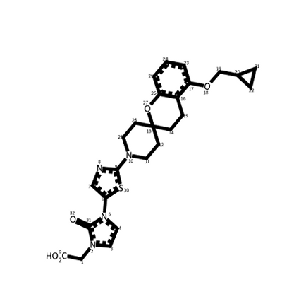 O=C(O)Cn1ccn(-c2cnc(N3CCC4(CCc5c(OCC6CC6)cccc5O4)CC3)s2)c1=O